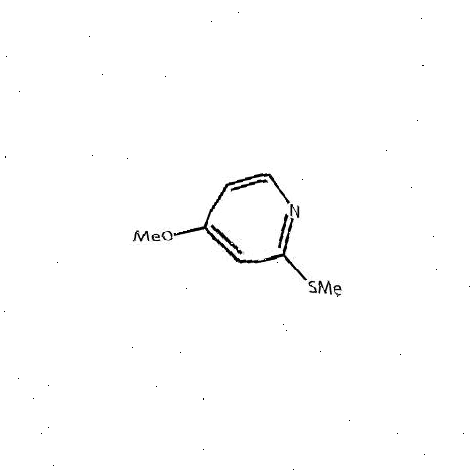 COc1ccnc(SC)c1